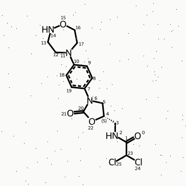 O=C(NC[C@H]1CN(c2ccc(N3CCNOCC3)cc2)C(=O)O1)C(Cl)Cl